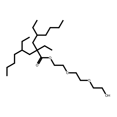 CCCCC(CC)CC(CC)(CC(CC)CCCC)C(=O)OCCOCCOCCO